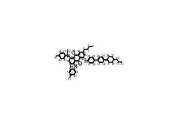 CCCCc1cc(Sc2ccc(-c3ccc(C4CCC(CCC)CC4)cc3)cc2)c2c(c1)C(=O)c1c(Nc3ccc(C)cc3)ccc(Nc3ccc(C)cc3)c1C2=O